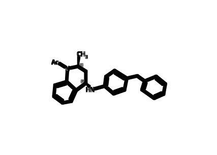 CC(=O)N1c2ccccc2[C@H](Nc2ccc(Cc3ccccc3)cc2)C[C@@H]1C